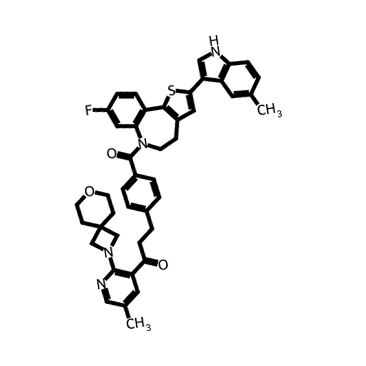 Cc1cnc(N2CC3(CCOCC3)C2)c(C(=O)CCc2ccc(C(=O)N3CCc4cc(-c5c[nH]c6ccc(C)cc56)sc4-c4ccc(F)cc43)cc2)c1